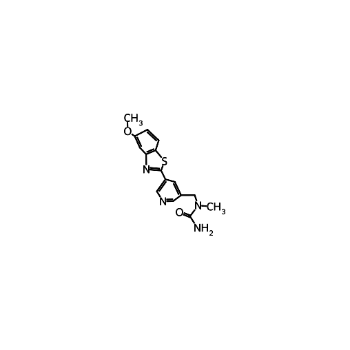 COc1ccc2sc(-c3cncc(CN(C)C(N)=O)c3)nc2c1